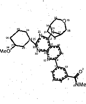 CNC(=O)c1cccc(-c2ccc3c(N4C5CCC4COC5)nc(N4CCCC(OC)C4)nc3n2)c1